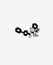 CC(C)(C)C(NC(=O)c1ccc(-c2ccccc2)cc1)n1nnc2ccccc21